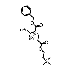 CCCN(CCC)[C@@H](CCC(=O)OCC[Si](C)(C)C)C(=O)OCc1ccccc1